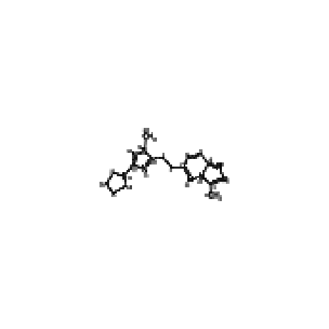 Cc1nnc2ccc(CCc3nc(N4CCCC4)nn3C)nn12